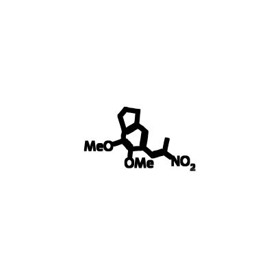 COc1c(C=C(C)[N+](=O)[O-])cc2c(c1OC)CCC2